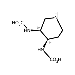 O=C(O)N[C@H]1CNCC[C@H]1NC(=O)O